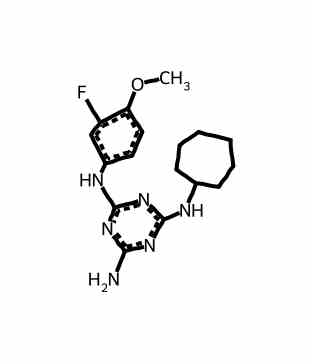 COc1ccc(Nc2nc(N)nc(NC3CCCCCC3)n2)cc1F